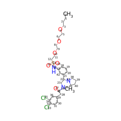 CCCCOCCOCCOCCS(=O)(=O)Nc1cccc(C(CN(C)C(=O)Cc2ccc(Cl)c(Cl)c2)N2CCCC2)c1